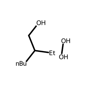 CCCCC(CC)CO.OO